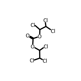 O=C(OC(Cl)C(Cl)Cl)OC(Cl)C(Cl)Cl